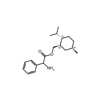 CC(C)[C@@H]1CC[C@@H](C)C[C@H]1COC(=O)C(N)c1ccccc1